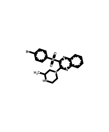 CC1CN(c2nc3ccccc3nc2S(=O)(=O)c2ccc(Br)cc2)CCN1